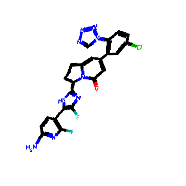 Nc1ccc(-c2[nH]c(C3CCc4cc(-c5cc(Cl)ccc5-n5cnnn5)cc(=O)n43)nc2F)c(F)n1